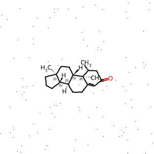 CC1CC(=O)C=C2CC[C@H]3[C@@H]4CCC[C@@]4(C)CC[C@@H]3[C@]21C